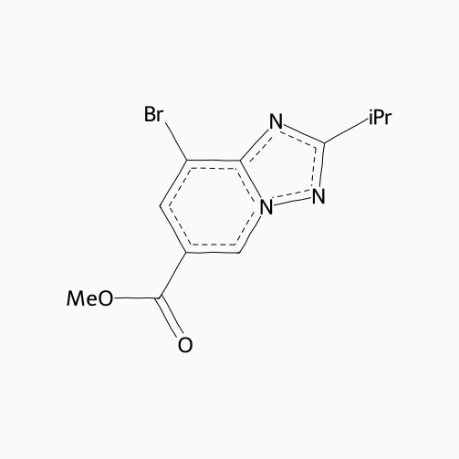 COC(=O)c1cc(Br)c2nc(C(C)C)nn2c1